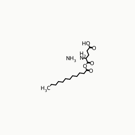 CCCCCCCCCCCC(=O)OC(=O)C(N)CCC(=O)O.N